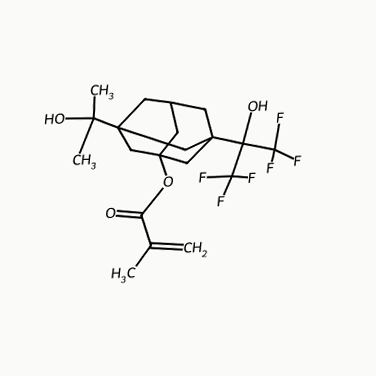 C=C(C)C(=O)OC12CC3CC(C(C)(C)O)(C1)CC(C(O)(C(F)(F)F)C(F)(F)F)(C3)C2